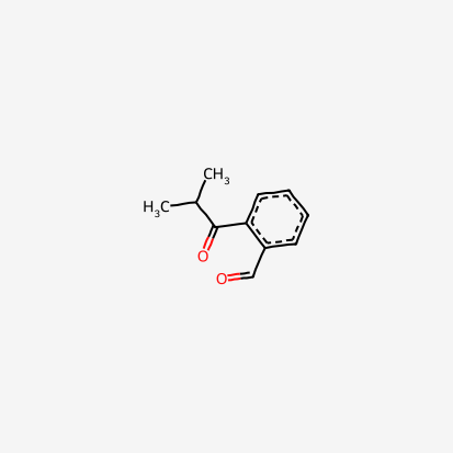 CC(C)C(=O)c1ccccc1C=O